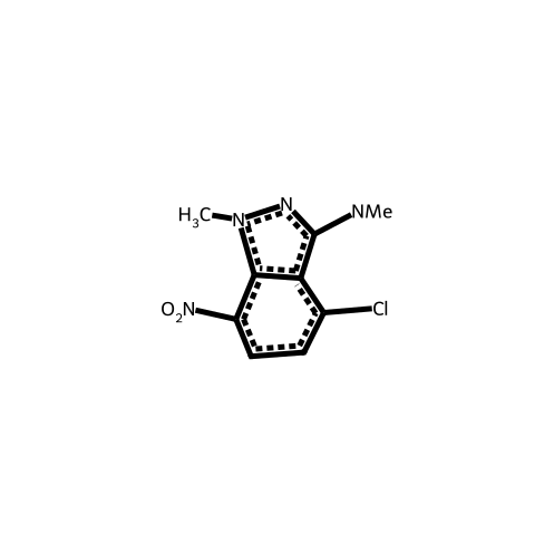 CNc1nn(C)c2c([N+](=O)[O-])ccc(Cl)c12